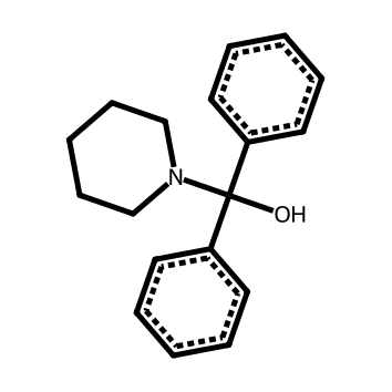 OC(c1ccccc1)(c1ccccc1)N1CCCCC1